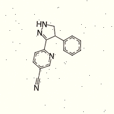 N#Cc1ccc(C2=NNCC2c2ccccc2)nc1